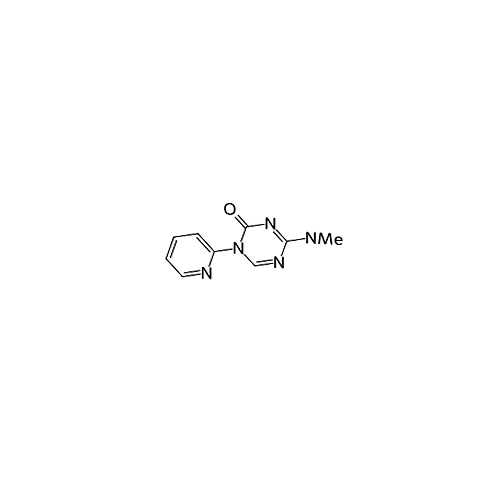 CNc1ncn(-c2ccccn2)c(=O)n1